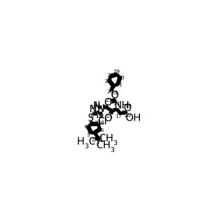 CC(C)(C)c1ccc(Sc2nnn(CC(=O)C(CC(=O)O)NC(=O)OCc3ccccc3)n2)c(Cl)c1